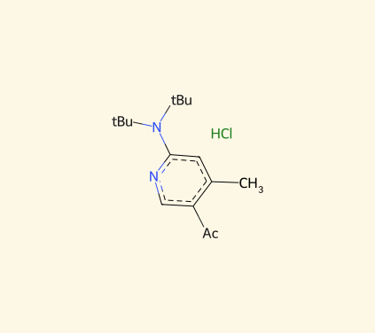 CC(=O)c1cnc(N(C(C)(C)C)C(C)(C)C)cc1C.Cl